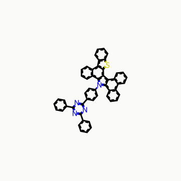 c1ccc(-c2nc(-c3ccccc3)nc(-c3ccc(-n4c5c6ccccc6c6ccccc6c5c5c6sc7ccccc7c6c6ccccc6c54)cc3)n2)cc1